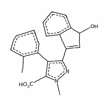 Cc1ccccc1-c1c(C2=CC(O)c3ccccc32)nn(C)c1C(=O)O